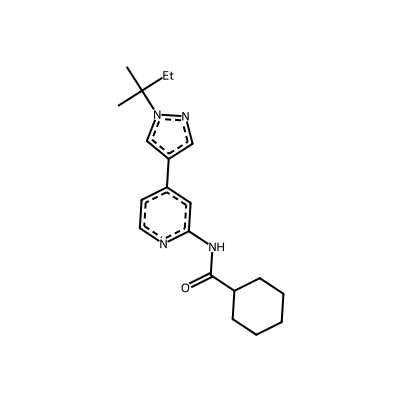 CCC(C)(C)n1cc(-c2ccnc(NC(=O)C3CCCCC3)c2)cn1